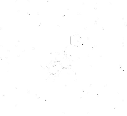 CC(C)n1nc(OC2CCOC2)c2cnc(Cl)cc21